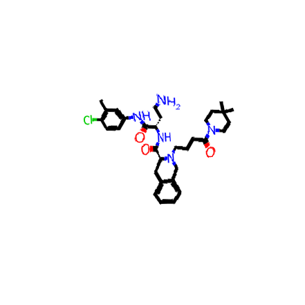 Cc1cc(NC(=O)[C@H](CCN)NC(=O)[C@@H]2Cc3ccccc3CN2CCCC(=O)N2CCC(C)(C)CC2)ccc1Cl